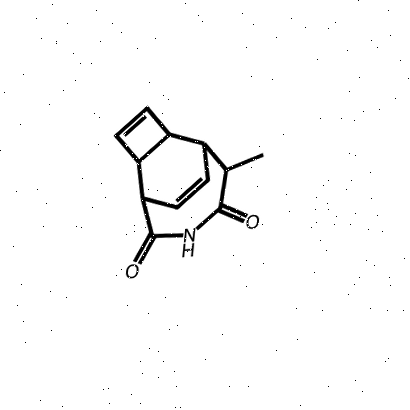 CC1C(=O)NC(=O)C2C=CC1C1C=CC21